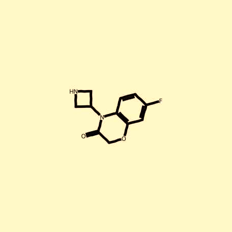 O=C1COc2cc(F)ccc2N1C1CNC1